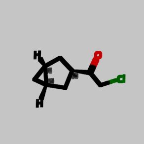 O=C(CCl)[C@H]1C[C@@H]2C[C@@H]2C1